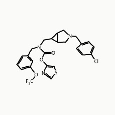 O=C(Oc1cscn1)N(Cc1cccc(OC(F)(F)F)c1)CC1C2CN(Cc3ccc(Cl)cc3)CC21